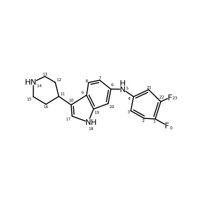 Fc1ccc(Nc2ccc3c(C4CCNCC4)c[nH]c3c2)cc1F